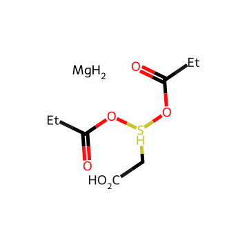 CCC(=O)O[SH](CC(=O)O)OC(=O)CC.[MgH2]